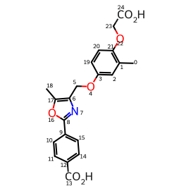 Cc1cc(OCc2nc(-c3ccc(C(=O)O)cc3)oc2C)ccc1OCC(=O)O